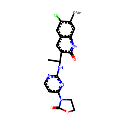 COc1cc2[nH]c(=O)c(C(C)Nc3nccc(N4CCOC4=O)n3)cc2cc1Cl